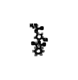 CC[C@@H]1CC(OC(N)=O)C[C@@H]1N1C(=O)c2ccccc2C1=O